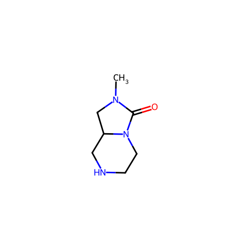 CN1CC2CNCCN2C1=O